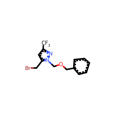 FC(F)(F)c1cc(CBr)n(COCc2ccccc2)n1